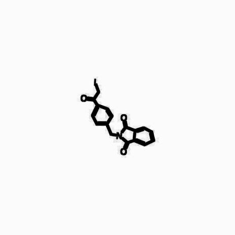 O=C(CI)c1ccc(CN2C(=O)c3ccccc3C2=O)cc1